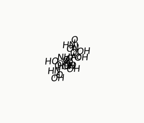 CC(=O)N[C@@H]1[C@@H](OP(=O)(OC[C@H]2O[C@@H](n3ccc(=O)[nH]c3=O)[C@H](O)[C@@H]2O)OP(=O)(O)O)[C@H](O)[C@@H](CNC(=O)CO)O[C@@H]1O